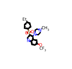 CCc1ccc(S(=O)(=O)c2cnc3ccc(OC(F)(F)F)cc3c2N2CCN(C)CC2)cc1